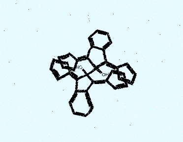 OC1(C2(O)C(=C3C=CC=C3)c3ccccc3C2=C2C=CC=C2)C(=C2C=CC=C2)c2ccccc2C1=C1C=CC=C1